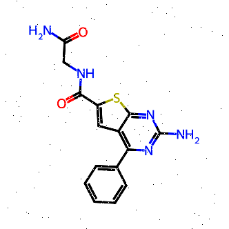 NC(=O)CNC(=O)c1cc2c(-c3ccccc3)nc(N)nc2s1